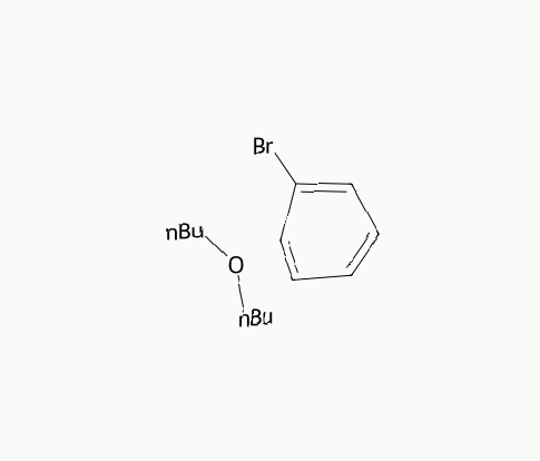 Brc1ccccc1.CCCCOCCCC